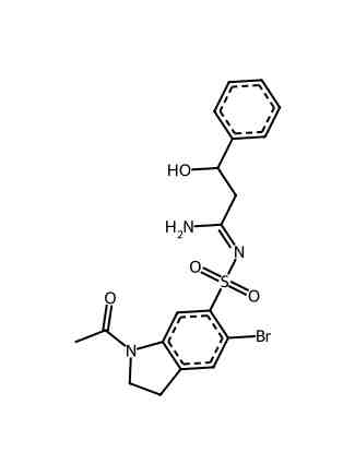 CC(=O)N1CCc2cc(Br)c(S(=O)(=O)/N=C(\N)CC(O)c3ccccc3)cc21